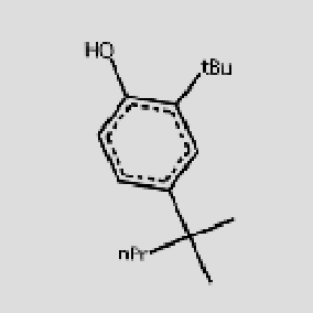 CCCC(C)(C)c1ccc(O)c(C(C)(C)C)c1